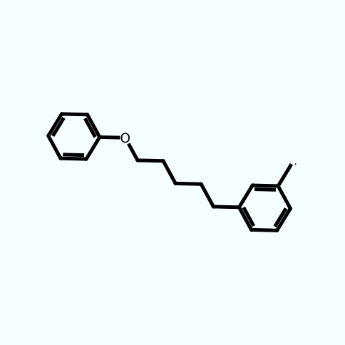 [CH2]c1cccc(CCCCCOc2ccccc2)c1